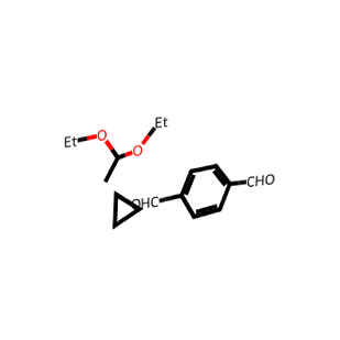 C1CC1.CCOC(C)OCC.O=Cc1ccc(C=O)cc1